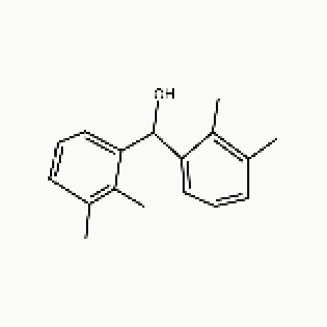 Cc1cccc(C(O)c2cccc(C)c2C)c1C